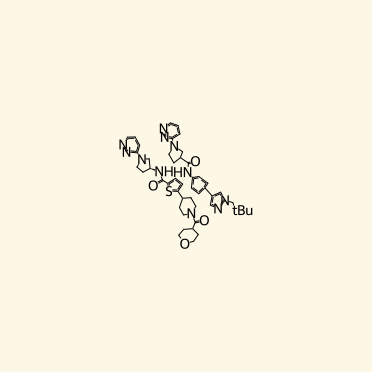 CC(C)(C)Cn1cc(-c2ccc(NC(=O)C3CCN(c4cccnn4)C3)cc2)cn1.O=C(N[C@H]1CCN(c2cccnn2)C1)c1ccc(C2CCN(C(=O)C3CCOCC3)CC2)s1